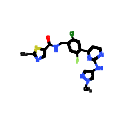 Cn1cc(Nc2nccc(-c3cc(Cl)c(CNC(=O)c4cnc(C(C)(C)C)s4)cc3F)n2)cn1